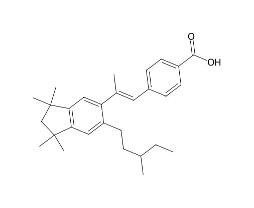 CCC(C)CCc1cc2c(cc1C(C)=Cc1ccc(C(=O)O)cc1)C(C)(C)CC2(C)C